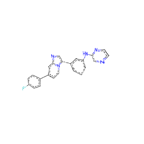 Fc1ccc(-c2ccn3c(-c4cccc(Nc5cnccn5)c4)cnc3c2)cc1